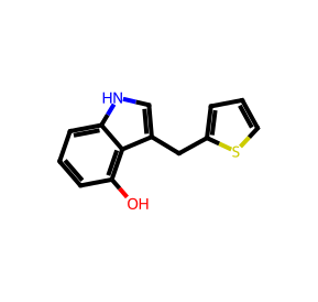 Oc1cccc2[nH]cc(Cc3cccs3)c12